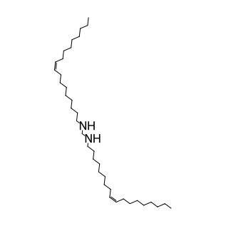 CCCCCCCC/C=C\CCCCCCCCNCNCCCCCCCC/C=C\CCCCCCCC